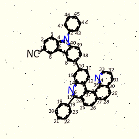 N#Cc1ccc2c(c1)c1cc(-c3ccc4c(c3)nc(-c3ccccc3)c3ccc5ccc6cccnc6c5c34)ccc1n2-c1ccccc1